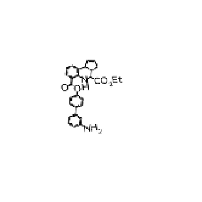 CCOC(=O)C1Nc2c(C(=O)Oc3ccc(-c4cccc(N)c4)cc3)cccc2C2C=CCC12